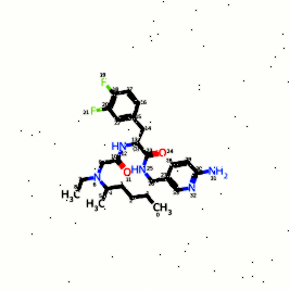 CCCCC(C)N(CC)CC(=O)N[C@@H](Cc1ccc(F)c(F)c1)C(=O)NCc1ccc(N)nc1